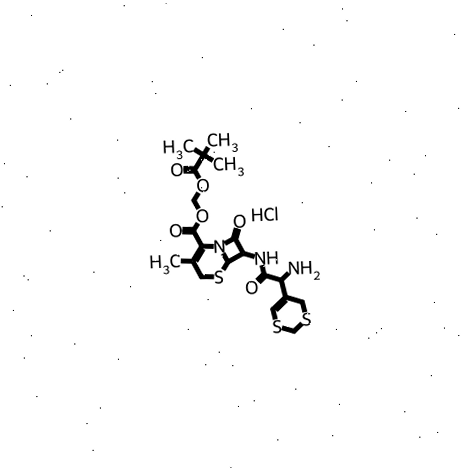 CC1=C(C(=O)OCOC(=O)C(C)(C)C)N2C(=O)C(NC(=O)C(N)C3=CSCSC3)C2SC1.Cl